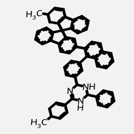 CC1C=CC(C2=NC(c3cccc(-c4c(-c5ccc6c(c5)C5(C7=C(C=CC(C)C7)c7ccccc75)c5ccccc5-6)ccc5ccccc45)c3)NC(c3ccccc3)N2)=CC1